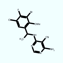 COc1c(C(C)Nc2ncnc(N)c2C#N)cc(Cl)c(F)c1Br